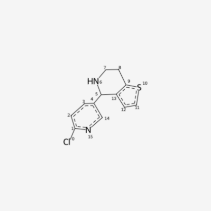 Clc1ccc(C2NCCc3sccc32)cn1